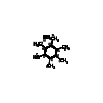 Cc1c(C)c(C)c(O)c(C)c1C.[BiH3]